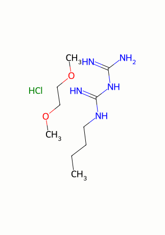 CCCCNC(=N)NC(=N)N.COCCOC.Cl